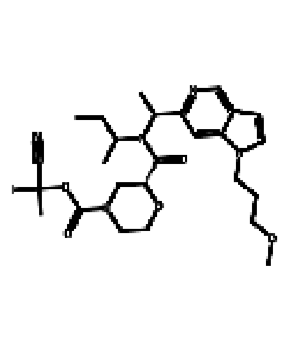 CCC(C)N(C(=O)[C@H]1CN(C(=O)OC(C)(I)C#N)CCO1)C(C)c1cc2c(ccn2CCCOC)cn1